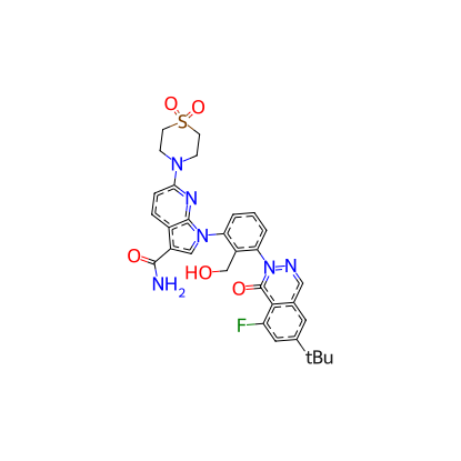 CC(C)(C)c1cc(F)c2c(=O)n(-c3cccc(-n4cc(C(N)=O)c5ccc(N6CCS(=O)(=O)CC6)nc54)c3CO)ncc2c1